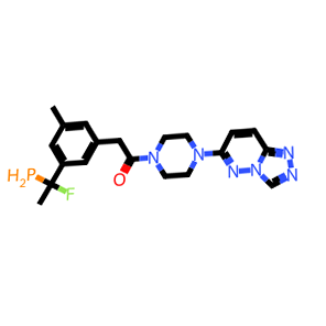 Cc1cc(CC(=O)N2CCN(c3ccc4nncn4n3)CC2)cc(C(C)(F)P)c1